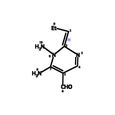 CC/C=C1/N=CC(C=O)=C(N)N1N